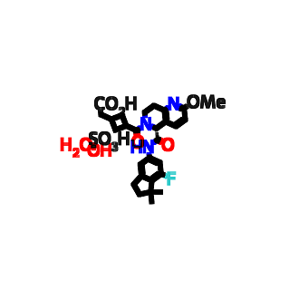 COc1ccc2c(n1)CCN(C(=O)C1CC(CC(=O)O)C1)[C@H]2C(=O)Nc1cc(F)c2c(c1)CCC2(C)C.O.O=S(=O)(O)O